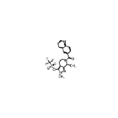 CC1c2nn(C)c(OS(=O)(=O)C(F)(F)F)c2CCN1C(=O)c1ccc2ncccc2c1